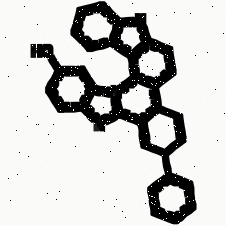 Oc1ccc2nc3c4c(c5ccc6nc7ccccc7c6c5n3c2c1)C=CC(c1ccccc1)C=4